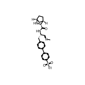 CCS(=O)(=O)c1ccc(-c2ccc(C[C@@H](/C=N/C)NC(=O)[C@H]3N[C@@H]4CC[C@H]3C4)cc2)cc1